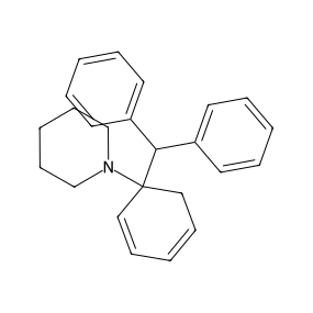 C1=CCC(C(c2ccccc2)c2ccccc2)(N2CCCCC2)C=C1